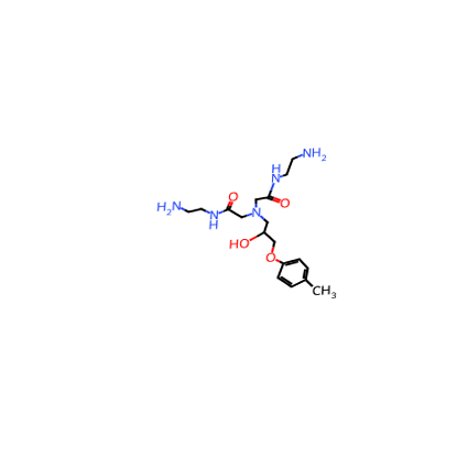 Cc1ccc(OCC(O)CN(CC(=O)NCCN)CC(=O)NCCN)cc1